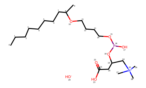 CCCCCCCCC(C)OCCCCOP(O)OC(CC(=O)O)C[N+](C)(C)C.[OH-]